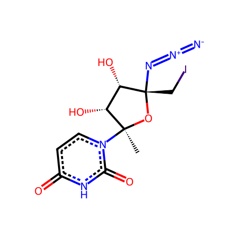 C[C@@]1(n2ccc(=O)[nH]c2=O)O[C@@](CI)(N=[N+]=[N-])[C@@H](O)[C@H]1O